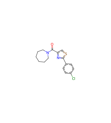 O=C(c1csc(-c2ccc(Cl)cc2)n1)N1CCCCCC1